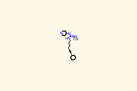 N#CNC(=Nc1ccncc1)NCCCCC#Cc1ccccc1